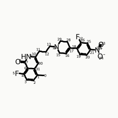 Cc1ccc(F)c2c(=O)[nH]c(CCCN3CC=C(c4ccc([N+](=O)[O-])cc4F)CC3)cc12